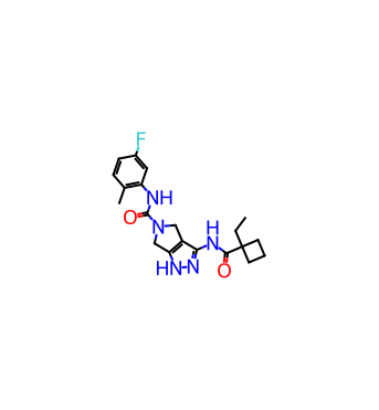 CCC1(C(=O)Nc2n[nH]c3c2CN(C(=O)Nc2cc(F)ccc2C)C3)CCC1